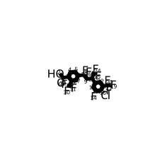 O=C(O)c1ccc(C(F)=CC(c2cc(F)c(Cl)c(C(F)(F)F)c2)C(F)(F)F)cc1C(F)(F)F